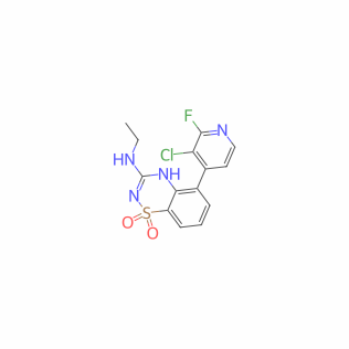 CCNC1=NS(=O)(=O)c2cccc(-c3ccnc(F)c3Cl)c2N1